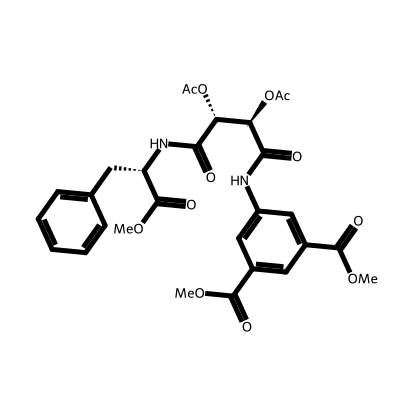 COC(=O)c1cc(NC(=O)[C@H](OC(C)=O)[C@@H](OC(C)=O)C(=O)N[C@@H](Cc2ccccc2)C(=O)OC)cc(C(=O)OC)c1